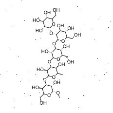 CO[C@@H]1OC(CO)[C@@H](O)C(O[C@@H]2OC(C)[C@H](O)C(O[C@@H]3OC(CO)[C@@H](O)C(O[C@@H]4OC(CO)[C@@H](O)C(O)[C@H]4O[C@H]4OC(CO)[C@@H](O)C(O)[C@H]4O)[C@H]3O)[C@@H]2O)[C@@H]1O